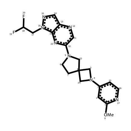 COc1cc(N2CC3(CCN(c4cnc5cnn(CC(F)F)c5n4)C3)C2)ccn1